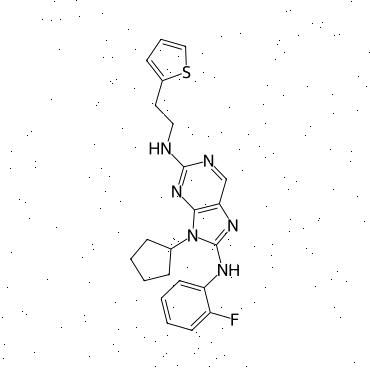 Fc1ccccc1Nc1nc2cnc(NCCc3cccs3)nc2n1C1CCCC1